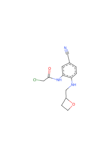 N#Cc1ccc(NCC2CCO2)c(NC(=O)CCl)c1